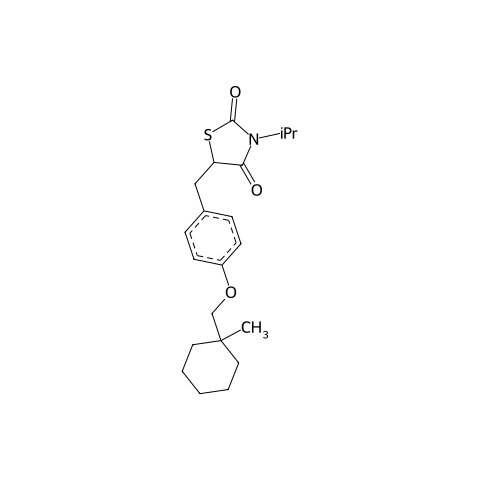 CC(C)N1C(=O)SC(Cc2ccc(OCC3(C)CCCCC3)cc2)C1=O